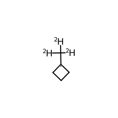 [2H]C([2H])([2H])[C]1CCC1